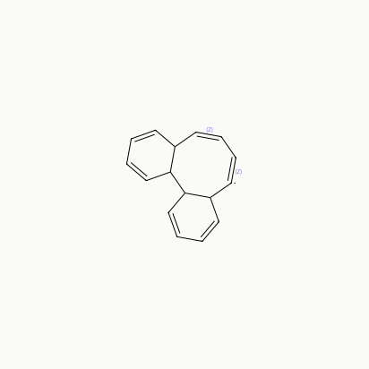 [C]1=C\C=C/C2C=CC=CC2C2C=CC=CC/12